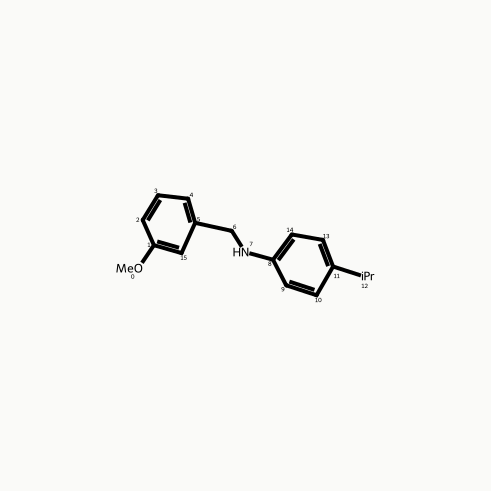 COc1cccc(CNc2ccc(C(C)C)cc2)c1